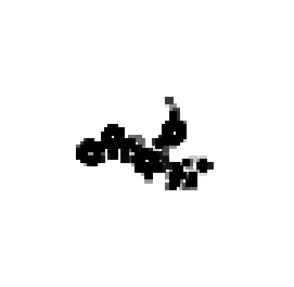 Cc1cc(OC(=O)c2cccc(-c3ccccc3)c2C)cc(OCc2cccc(C#N)c2)c1CN[C@H](CO)C(=O)O